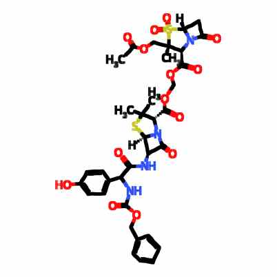 CC(=O)OC[C@@]1(C)[C@H](C(=O)OCOC(=O)[C@@H]2N3C(=O)[C@@H](NC(=O)C(NC(=O)OCc4ccccc4)c4ccc(O)cc4)[C@H]3SC2(C)C)N2C(=O)C[C@H]2S1(=O)=O